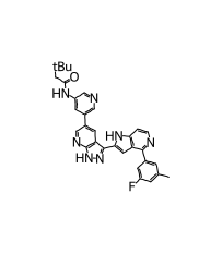 Cc1cc(F)cc(-c2nccc3[nH]c(-c4n[nH]c5ncc(-c6cncc(NC(=O)CC(C)(C)C)c6)cc45)cc23)c1